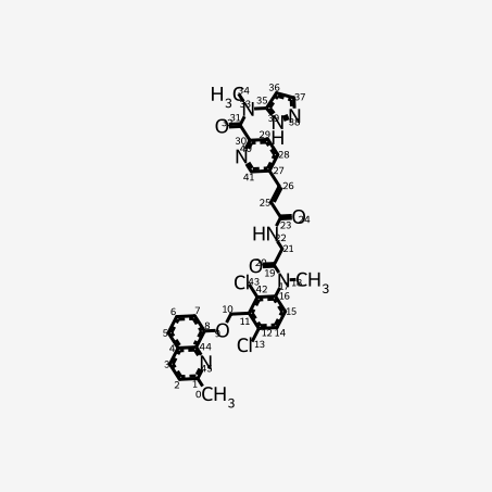 Cc1ccc2cccc(OCc3c(Cl)ccc(N(C)C(=O)CNC(=O)C=Cc4ccc(C(=O)N(C)c5ccn[nH]5)nc4)c3Cl)c2n1